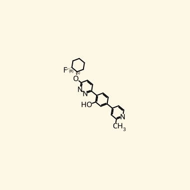 Cc1cc(-c2ccc(-c3ccc(O[C@H]4CCCC[C@H]4F)nn3)c(O)c2)ccn1